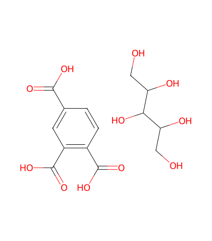 O=C(O)c1ccc(C(=O)O)c(C(=O)O)c1.OCC(O)C(O)C(O)CO